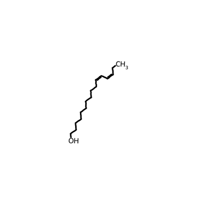 CC/C=C\C=C/CCCCCCCCCCO